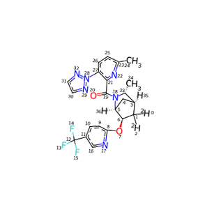 [2H]C1([2H])[C@H]2C[C@@H]([C@@H]1Oc1ccc(C(F)(F)F)cn1)N(C(=O)c1nc(C)ccc1-n1nccn1)[C@@H]2C